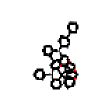 c1ccc(-c2ccc(N(c3ccc(-c4ccccc4)cc3)c3ccccc3-c3ccc4c(c3)N(c3ccccc3)c3ccccc3C4(c3ccccc3)c3ccccc3)cc2)cc1